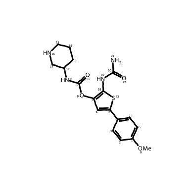 COc1ccc(-c2cc(OC(=O)NC3CCCNC3)c(NC(N)=O)s2)cc1